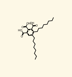 CCCCCCCCc1cc(C(=O)O)c(C(=O)O)c(C(=O)O)c1CCCCCCCC